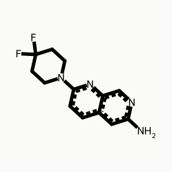 Nc1cc2ccc(N3CCC(F)(F)CC3)nc2cn1